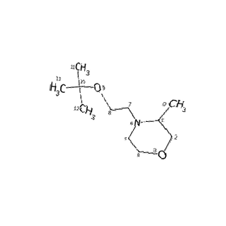 CC1COCCN1CCOC(C)(C)C